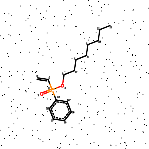 C=CP(=O)(OCCCCCCCC)c1ccccc1